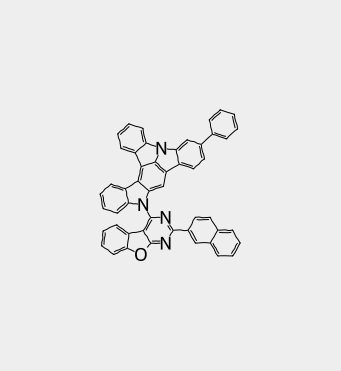 c1ccc(-c2ccc3c4cc5c(c6ccccc6n5-c5nc(-c6ccc7ccccc7c6)nc6oc7ccccc7c56)c5c6ccccc6n(c3c2)c45)cc1